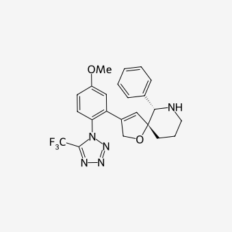 COc1ccc(-n2nnnc2C(F)(F)F)c(C2=C[C@@]3(CCCN[C@H]3c3ccccc3)OC2)c1